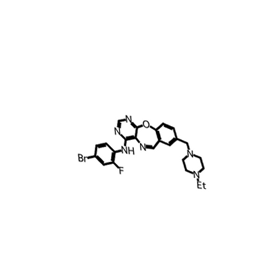 CCN1CCN(Cc2ccc3c(c2)C=Nc2c(Nc4ccc(Br)cc4F)ncnc2O3)CC1